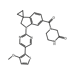 COc1ccsc1-c1cnc(N2CC3(CC3)c3ccc(C(=O)N4CCNC(=O)C4)cc32)nc1